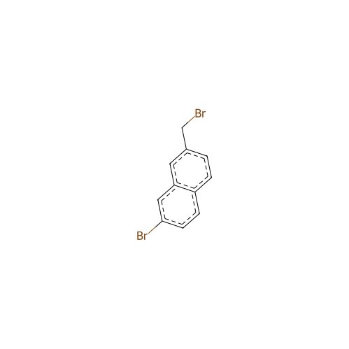 BrCc1ccc2ccc(Br)cc2c1